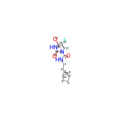 O=C(NCCC1CC2CCC1C2)n1cc(F)c(=O)[nH]c1=O